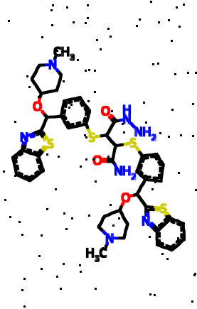 CN1CCC(OC(c2cccc(SC(C(N)=O)C(Sc3cccc(C(OC4CCN(C)CC4)c4nc5ccccc5s4)c3)C(=O)NN)c2)c2nc3ccccc3s2)CC1